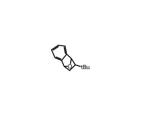 CC(C)(C)C1CC2OC1c1ccccc12